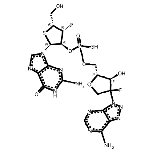 Nc1nc2c(ncn2[C@@H]2S[C@H](CO)[C@H](F)[C@H]2OP(=O)(S)OC[C@H]2OCC(F)(n3nnc4c(N)ncnc43)[C@@H]2O)c(=O)[nH]1